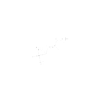 CCC(C)(C/C=C(\C)C(=O)O)[N+](=O)[O-]